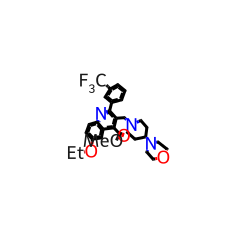 CCOc1ccc2nc(-c3cccc(C(F)(F)F)c3)c(CN3CCC(N4CCOCC4)CC3)c(C(=O)OC)c2c1